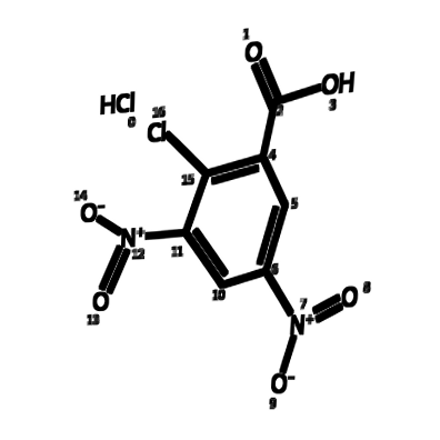 Cl.O=C(O)c1cc([N+](=O)[O-])cc([N+](=O)[O-])c1Cl